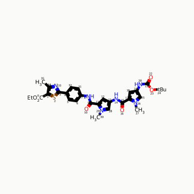 CCOC(=O)c1sc(-c2ccc(NC(=O)c3cc(NC(=O)c4cc(NC(=O)OC(C)(C)C)cn4C)cn3C)cc2)nc1C